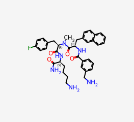 CN(C(=O)[C@@H](Cc1ccc2ccccc2c1)NC(=O)c1cccc(CN)c1)[C@H](Cc1ccc(F)cc1)C(=O)N[C@@H](CCCCN)C(N)=O